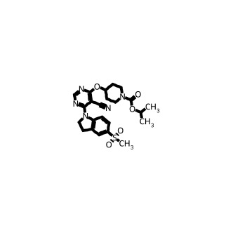 CC(C)OC(=O)N1CCC(Oc2ncnc(N3CCc4cc(S(C)(=O)=O)ccc43)c2C#N)CC1